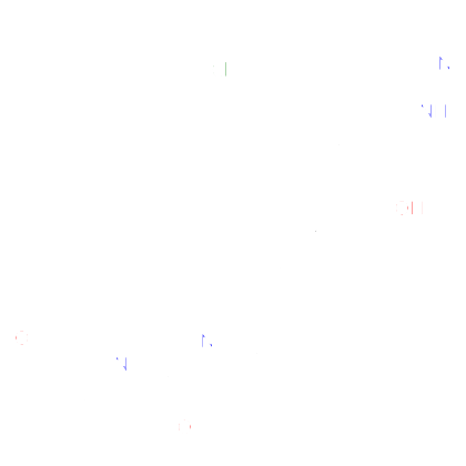 CC(C)(C1CCN(C(=O)N2CCOCC2)CC1)C(O)c1cc(Cl)cc2cn[nH]c12